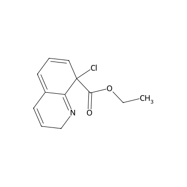 CCOC(=O)C1(Cl)C=CC=C2C=CCN=C21